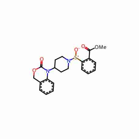 COC(=O)c1ccccc1[S+]([O-])N1CCC(N2C(=O)OCc3ccccc32)CC1